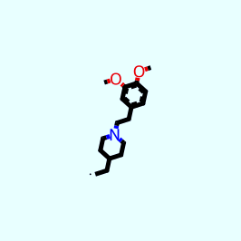 [CH2]CC1CCN(CCc2ccc(OC)c(OC)c2)CC1